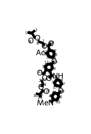 C=C(C)C(=O)OCCOC(=O)c1ccc(Oc2ccc(C(=O)OCCOC(=O)C(=C)C)c(C(=O)Nc3ccc(Oc4ccc(NC)cc4)cc3)c2)cc1C(C)=O